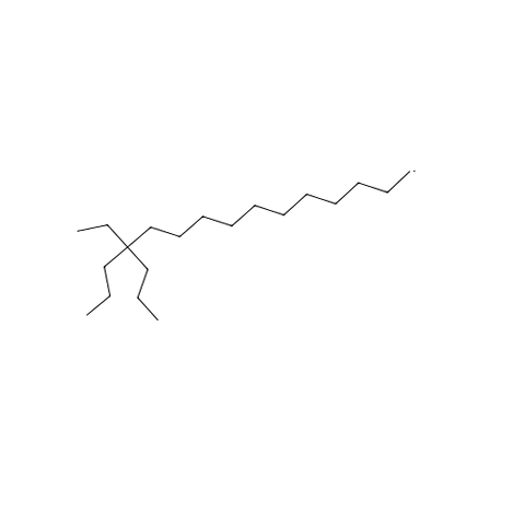 [CH2]CCCCCCCCCCC(CC)(CCC)CCC